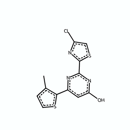 Cc1ccsc1-c1cc(O)nc(-c2nc(Cl)cs2)n1